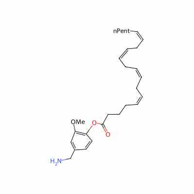 CCCCC/C=C\C/C=C\C/C=C\C/C=C\CCCC(=O)Oc1ccc(CN)cc1OC